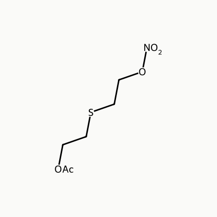 CC(=O)OCCSCCO[N+](=O)[O-]